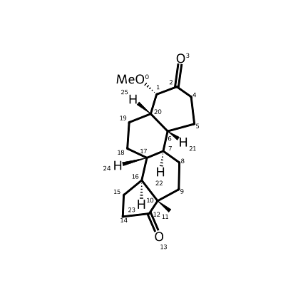 CO[C@@H]1C(=O)CC[C@@H]2[C@H]3CC[C@]4(C)C(=O)CC[C@H]4[C@@H]3CC[C@@H]21